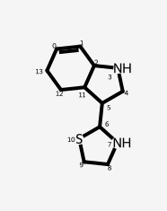 C1=CC2NCC(C3NCCS3)C2CC1